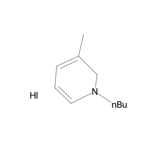 CCCCN1C=CC=C(C)C1.I